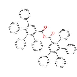 O=C(OC(=O)c1cc(-c2ccccc2)c(-c2ccccc2)c(-c2ccccc2)c1-c1ccccc1)c1cc(-c2ccccc2)c(-c2ccccc2)c(-c2ccccc2)c1-c1ccccc1